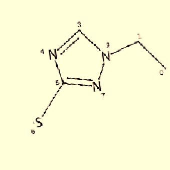 CCn1cnc([S])n1